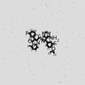 Cc1cccc2nc([C@@H](C)n3nc(-c4ccc(OC(C)C)c(F)c4)c4c(N)ncnc43)c(-c3cccc(F)c3)c(=O)n12